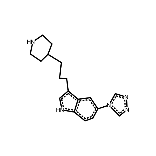 c1cc2[nH]cc(CCCC3CCNCC3)c2cc1-n1cnnc1